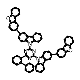 c1ccc(-c2ccccc2-c2nc(-n3c4ccccc4c4cc(-c5ccc6oc7ccccc7c6c5)ccc43)nc(-n3c4ccccc4c4cc(-c5ccc6oc7ccccc7c6c5)ccc43)n2)cc1